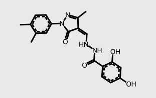 CC1=NN(c2ccc(C)c(C)c2)C(=O)C1=CNNC(=O)c1ccc(O)cc1O